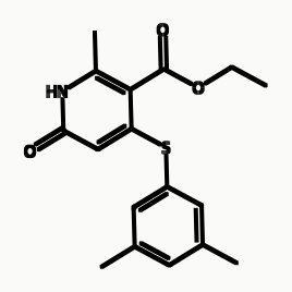 CCOC(=O)c1c(Sc2cc(C)cc(C)c2)cc(=O)[nH]c1C